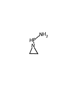 NPN1CC1